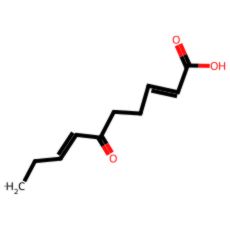 [CH2]CC=CC(=O)CCC=CC(=O)O